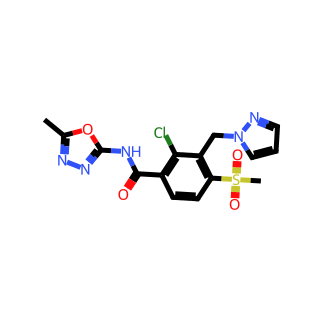 Cc1nnc(NC(=O)c2ccc(S(C)(=O)=O)c(Cn3cccn3)c2Cl)o1